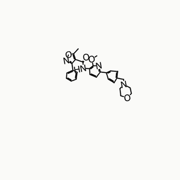 COc1nc(-c2ccc(CN3CCOCC3)cc2)ccc1NC(=O)c1c(-c2ccccc2)noc1C